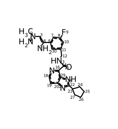 CN(N)/C=C(\N)c1cc(F)cc(CNC(=O)c2nccc3nc(C4CCCC4)[nH]c23)c1